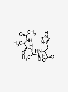 CC(=O)NC(C)C(=O)NC(C)C(=O)NC(Cc1c[nH]cn1)C(=O)O